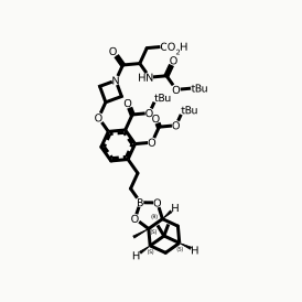 CC(C)(C)OC(=O)NC(CC(=O)O)C(=O)N1CC(Oc2ccc(CCB3O[C@@H]4C[C@@H]5C[C@@H](C5(C)C)[C@]4(C)O3)c(OC(=O)OC(C)(C)C)c2C(=O)OC(C)(C)C)C1